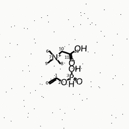 C=CO[PH](=O)O.C[N+](C)(C)CC(=O)O